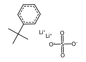 CC(C)(C)c1ccccc1.O=S(=O)([O-])[O-].[Li+].[Li+]